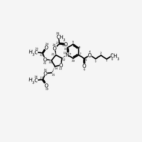 CCCCOC(=O)c1ccc[n+]([C@@H]2O[C@H](COC(C)=O)[C@@H](OC(C)=O)[C@H]2OC(C)=O)c1